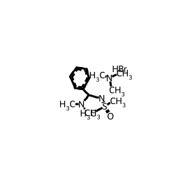 Br.CN(C)C.CN(C)C(N=S(C)(C)=O)c1ccccc1